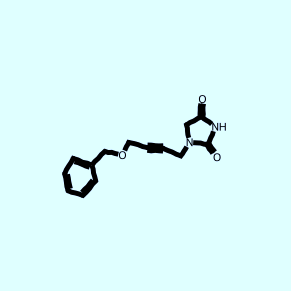 O=C1CN(CC#CCOCc2ccccc2)C(=O)N1